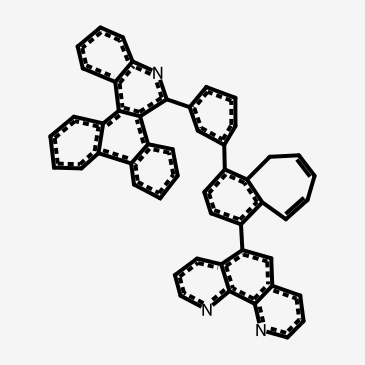 C1=CCc2c(-c3cccc(-c4nc5ccccc5c5c6ccccc6c6ccccc6c45)c3)ccc(-c3cc4cccnc4c4ncccc34)c2C=C1